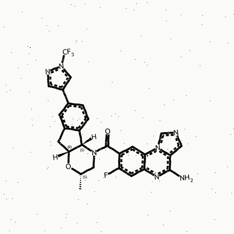 C[C@H]1CN(C(=O)c2cc3c(cc2F)nc(N)c2cncn23)[C@H]2c3ccc(-c4cnn(C(F)(F)F)c4)cc3C[C@H]2O1